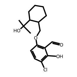 CC(C)(O)C1CCCCC1COc1ccc(Cl)c(O)c1C=O